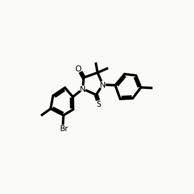 Cc1ccc(N2C(=S)N(c3ccc(C)c(Br)c3)C(=O)C2(C)C)cc1